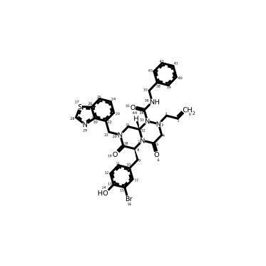 C=CCN1CC(=O)N2[C@@H](Cc3ccc(O)c(Br)c3)C(=O)N(Cc3cccc4scnc34)C[C@@H]2N1C(=O)NCc1ccccc1